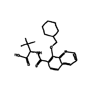 CC(C)(C)C(NC(=O)c1ccc2cccnc2c1OCC1CCCCC1)C(=O)O